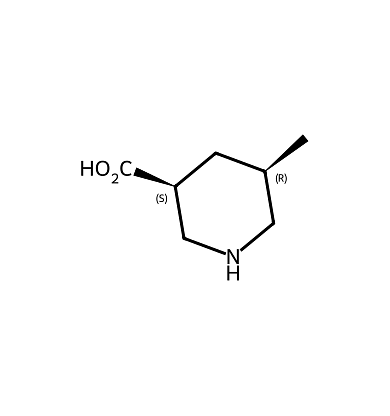 C[C@H]1CNC[C@@H](C(=O)O)C1